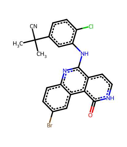 CC(C)(C#N)c1ccc(Cl)c(Nc2nc3ccc(Br)cc3c3c(=O)[nH]ccc23)c1